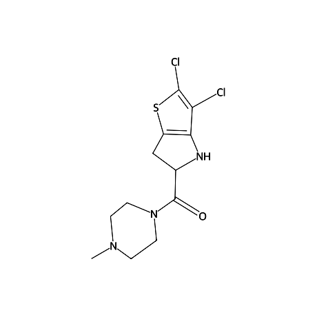 CN1CCN(C(=O)C2Cc3sc(Cl)c(Cl)c3N2)CC1